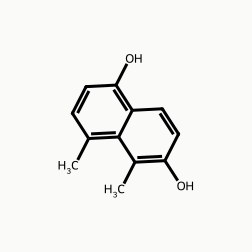 Cc1ccc(O)c2ccc(O)c(C)c12